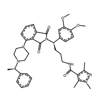 COc1ccc([C@@H](CCCNC(=O)c2c(C)nn(C)c2C)N2C(=O)c3cccc(N4CCN([C@H](C)c5ccccc5)CC4)c3C2=O)cc1OC